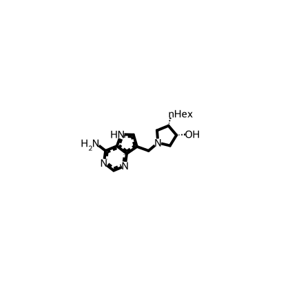 CCCCCC[C@H]1CN(Cc2c[nH]c3c(N)ncnc23)C[C@H]1O